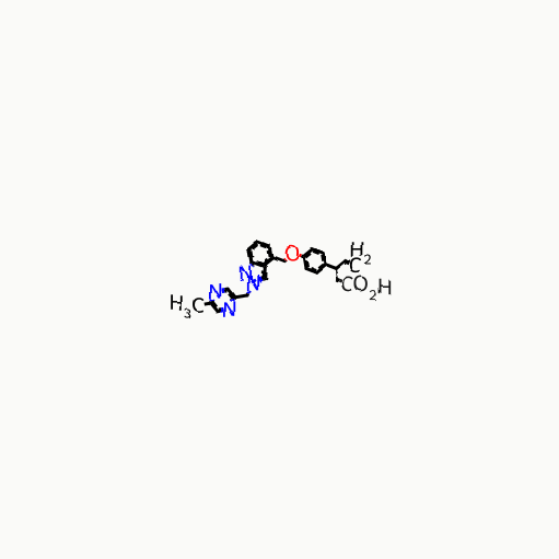 C=C[C@@H](CC(=O)O)c1ccc(OCc2cccc3nn(Cc4cnc(C)cn4)cc23)cc1